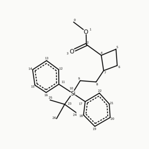 COC(=O)C1CCC1CC[Si](c1ccccc1)(c1ccccc1)C(C)(C)C